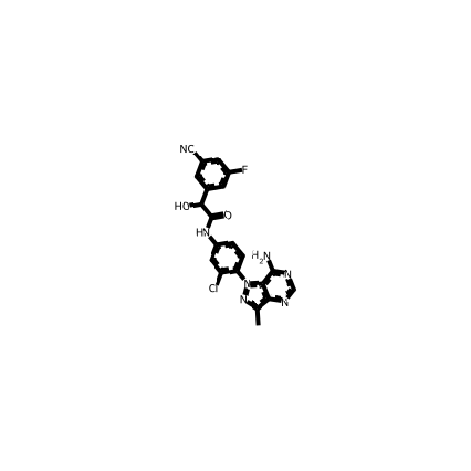 Cc1nn(-c2ccc(NC(=O)C(O)c3cc(F)cc(C#N)c3)cc2Cl)c2c(N)ncnc12